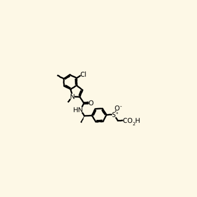 Cc1cc(Cl)c2cc(C(=O)N[C@H](C)c3ccc([S@+]([O-])CC(=O)O)cc3)n(C)c2c1